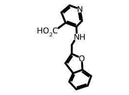 O=C(O)c1ccncc1NCc1cc2ccccc2o1